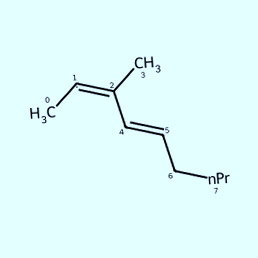 C/[C]=C(C)\C=C\CCCC